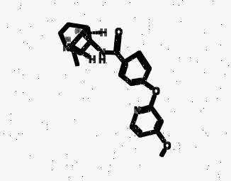 COc1ccnc(Oc2ccc(C(=O)N[C@@H]3C4CCN(CC4)[C@H]3C)cc2)c1